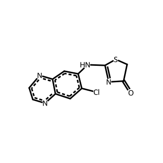 O=C1CSC(Nc2cc3nccnc3cc2Cl)=N1